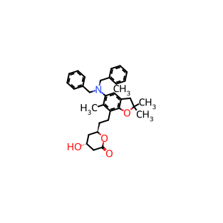 Cc1c(CC[C@@H]2C[C@@H](O)CC(=O)O2)c2c(c(C)c1N(Cc1ccccc1)Cc1ccccc1)CC(C)(C)O2